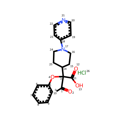 CC(=O)C(Oc1ccccc1)(C(=O)O)C1CCN(c2ccncc2)CC1.Cl